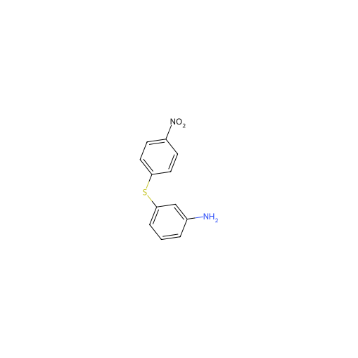 Nc1cccc(Sc2ccc([N+](=O)[O-])cc2)c1